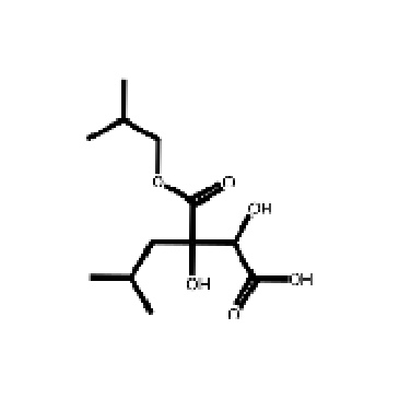 CC(C)COC(=O)C(O)(CC(C)C)C(O)C(=O)O